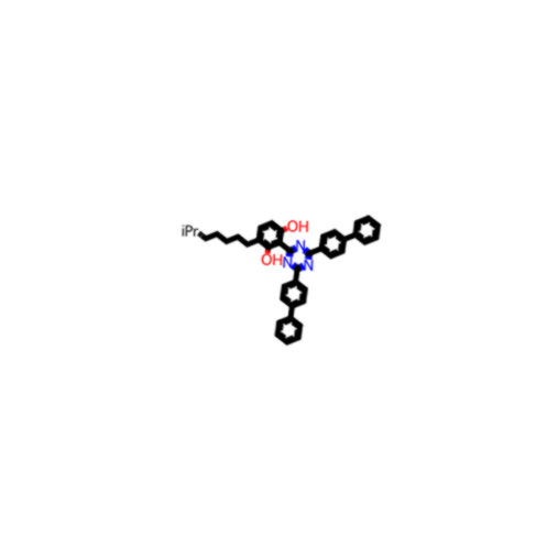 CC(C)CCCCCc1ccc(O)c(-c2nc(-c3ccc(-c4ccccc4)cc3)nc(-c3ccc(-c4ccccc4)cc3)n2)c1O